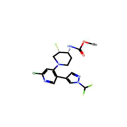 CC(C)(C)OC(=O)N[C@@H]1CCN(c2cc(Cl)ncc2-c2cnn(C(F)F)c2)C[C@@H]1F